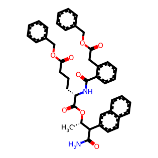 C[C@H](OC(=O)[C@H](CCCC(=O)OCc1ccccc1)NC(=O)c1ccccc1CC(=O)OCc1ccccc1)C(C(N)=O)c1ccc2ccccc2c1